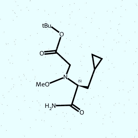 CON(CC(=O)OC(C)(C)C)[C@@H](CC1CC1)C(N)=O